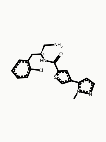 Cn1nccc1-c1csc(C(=O)N[C@H](CN)Cc2ccccc2Cl)c1